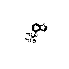 COP(=O)(OC)Oc1cccc2sccc12